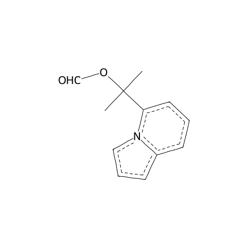 CC(C)(OC=O)c1cccc2cccn12